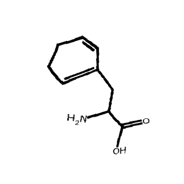 NC(CC1=CCCC=C1)C(=O)O